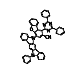 N#Cc1cc(-n2c3ccccc3c3cc4c(cc32)c2ccccc2n4-c2ccccc2)c2oc3ccccc3c2c1-c1nc(-c2ccccc2)nc(-c2ccccc2)n1